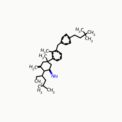 C=C1CC(C)(c2cccc(Cc3ccc(CCC(C)(C)C)cc3)c2C)CC(=N)C1C(CC)CC(C)C